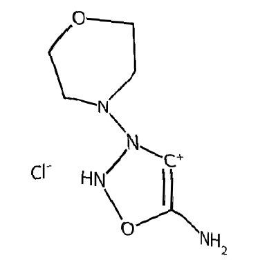 NC1=[C+]N(N2CCOCC2)NO1.[Cl-]